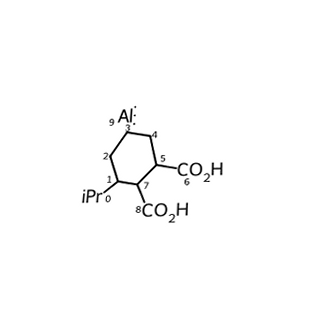 CC(C)C1CCCC(C(=O)O)C1C(=O)O.[Al]